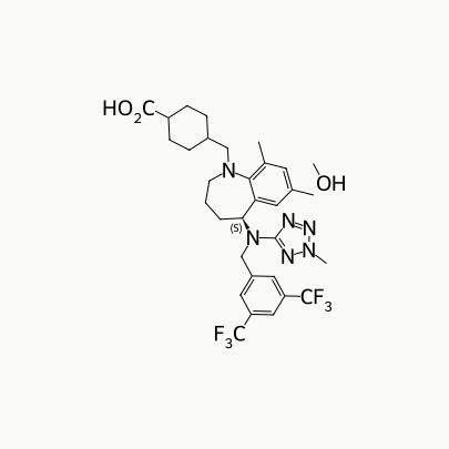 CO.Cc1cc(C)c2c(c1)[C@@H](N(Cc1cc(C(F)(F)F)cc(C(F)(F)F)c1)c1nnn(C)n1)CCCN2CC1CCC(C(=O)O)CC1